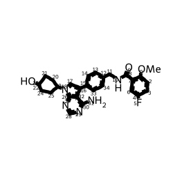 COc1ccc(F)cc1C(=O)NCc1ccc(-c2cn(C3CCC(O)CC3)c3ncnc(N)c23)cc1